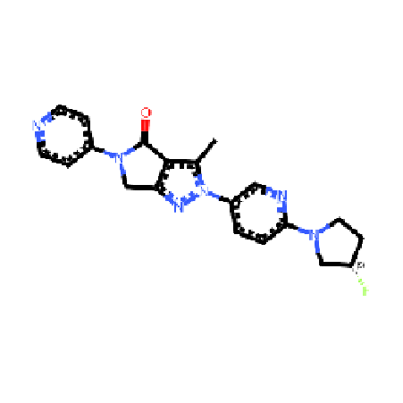 Cc1c2c(nn1-c1ccc(N3CC[C@H](F)C3)nc1)CN(c1ccncc1)C2=O